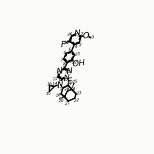 COc1cc(-c2ccc(-c3ncc(N(C4CC4)[C@@H]4C[C@@]5(C)CCC[C@](C)(C5)[C@@H]4F)nn3)c(O)c2)c(F)cn1